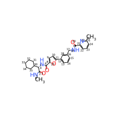 CNC(=O)[C@@H](NC(=O)c1ccc(-c2cccc(CNC(=O)c3cccc(C)n3)c2)o1)C1CCCCC1